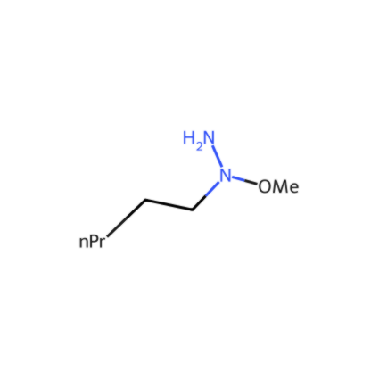 CCCCCN(N)OC